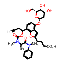 C#CCC(OC(=O)N(C)C(C(=O)N(C)c1ccccc1)C(C)C)c1ccc(O[C@H]2C[C@@H](O)[C@@H](O)[C@@H](CO)O2)c2cc(CCCC(=O)O)oc12